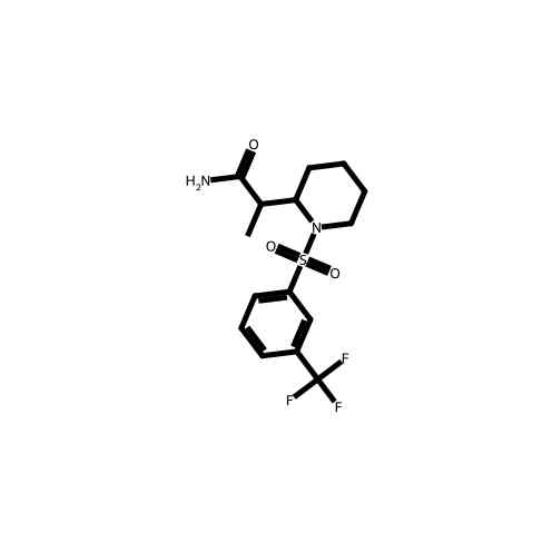 CC(C(N)=O)C1CCCCN1S(=O)(=O)c1cccc(C(F)(F)F)c1